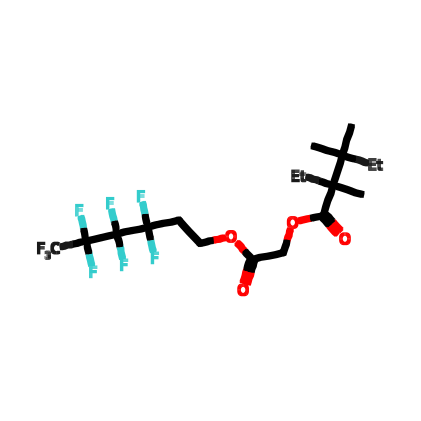 CCC(C)(C)C(C)(CC)C(=O)OCC(=O)OCCC(F)(F)C(F)(F)C(F)(F)C(F)(F)F